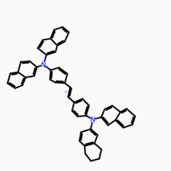 C(=C\c1ccc(N(c2ccc3ccccc3c2)c2ccc3ccccc3c2)cc1)/c1ccc(N(c2ccc3c(c2)CCCC3)c2ccc3ccccc3c2)cc1